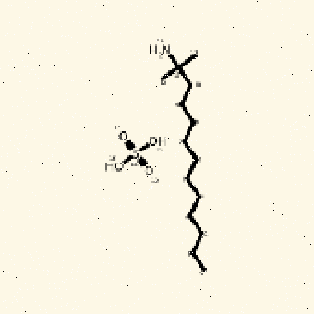 CCCCCCCCCCCC(C)(C)N.O=S(=O)(O)O